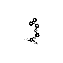 C=CC1CC(C=C)C(COc2cccc(-c3nnc(-c4cccc(-n5c6ccccc6c6ccccc65)c4)o3)c2)C1